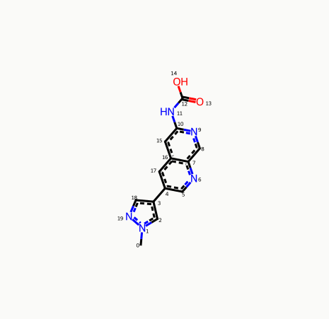 Cn1cc(-c2cnc3cnc(NC(=O)O)cc3c2)cn1